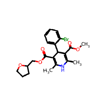 COC(=O)C1=C(C)NC(C)=C(C(=O)OCC2CCCO2)C1c1ccccc1Br